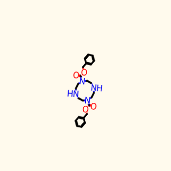 O=C(OCc1ccccc1)N1CCNCCN(C(=O)OCc2ccccc2)CCNCC1